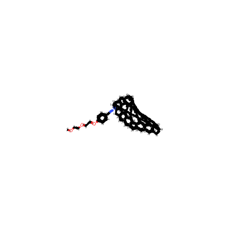 COCCOCCOc1ccc(N2CC3C4=c5c6c7c8c(cc9cc%10cc%11cc%12cc%13c%14c(c5c5c6c6c8c9c8c%10c%11c9c%12c%14c5c9c86)=C(C4)C%13)CC73C2)cc1